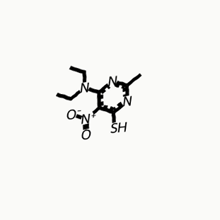 CCN(CC)c1nc(C)nc(S)c1[N+](=O)[O-]